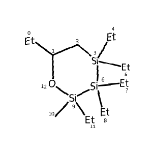 CCC1C[Si](CC)(CC)[Si](CC)(CC)[Si](C)(CC)O1